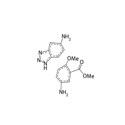 COC(=O)c1cc(N)ccc1OC.Nc1ccc2[nH]nnc2c1